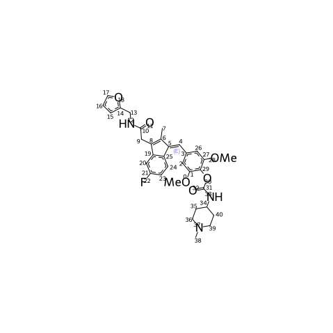 COc1cc(/C=C2/C(C)=C(CC(=O)NCc3ccco3)c3cc(F)ccc32)cc(OC)c1OC(=O)NC1CCN(C)CC1